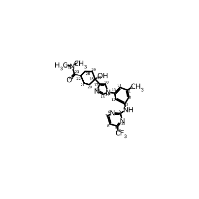 Cc1cc(Nc2nccc(C(F)(F)F)n2)cc(-n2cnc([C@]3(O)CC[C@@H](C(=O)N(C)C)CC3)c2)c1